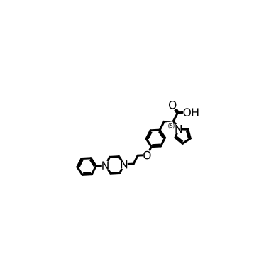 O=C(O)[C@H](Cc1ccc(OCCN2CCN(c3ccccc3)CC2)cc1)n1cccc1